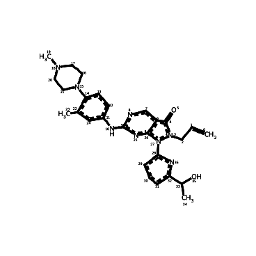 C=CCn1c(=O)c2cnc(Nc3ccc(N4CCN(C)CC4)c(C)c3)nc2n1-c1cccc(C(C)O)n1